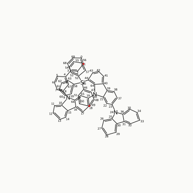 c1ccc(-c2cccc(-n3c4ccccc4c4ccc(-n5c6cc(-n7c8ccccc8c8ccccc87)ccc6c6cccc([Si](c7ccccc7)(c7ccccc7)c7ccccc7)c65)cc43)c2)cc1